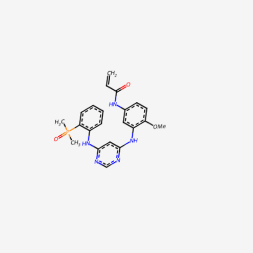 C=CC(=O)Nc1ccc(OC)c(Nc2cc(Nc3ccccc3P(C)(C)=O)ncn2)c1